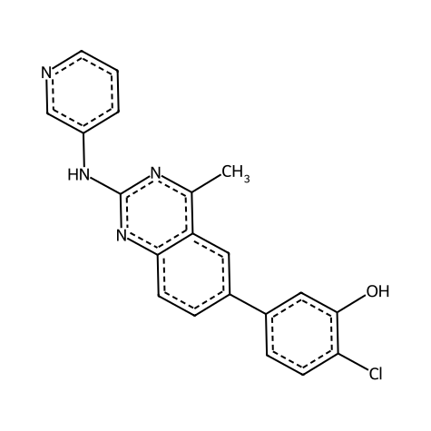 Cc1nc(Nc2cccnc2)nc2ccc(-c3ccc(Cl)c(O)c3)cc12